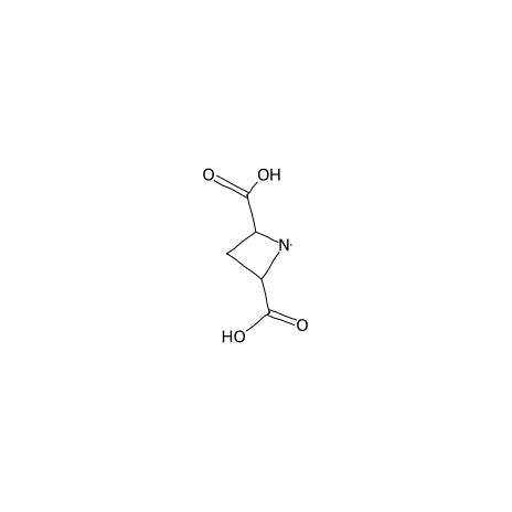 O=C(O)C1CC(C(=O)O)[N]1